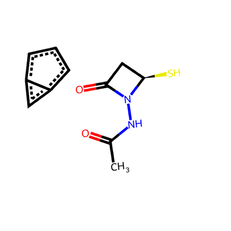 CC(=O)NN1C(=O)C[C@H]1S.c1cc2cc-2c1